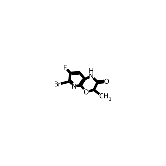 CC1Oc2nc(Br)c(F)cc2NC1=O